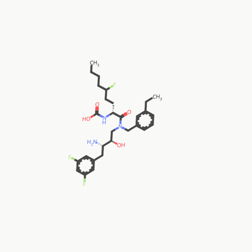 CCCCC(F)CC[C@@H](NC(=O)O)C(=O)N(Cc1cccc(CC)c1)C[C@@H](O)[C@@H](N)Cc1cc(F)cc(F)c1